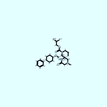 CN1CC(=O)N[C@]2(CCCN(C(=O)OCC(F)F)[C@H]2CO[C@H]2CC[C@@H](c3ccccc3)CC2)C1